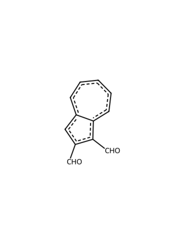 O=Cc1cc2cccccc-2c1C=O